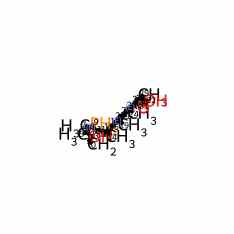 C=CC(O)C(C)/C(C)=C(/P)CCCC(C)CC/C=C(\C)CCC/C(C)=C/CCC(C)C(=O)O